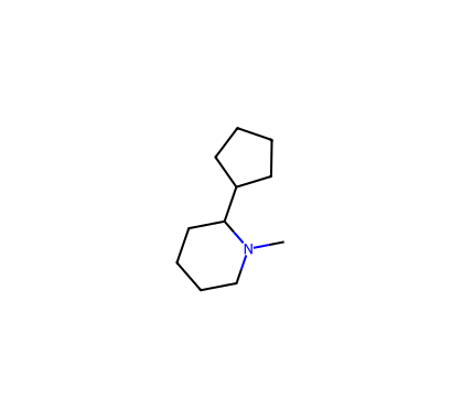 CN1CCCCC1C1CCCC1